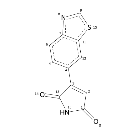 O=C1C=C(c2ccc3ncsc3c2)C(=O)N1